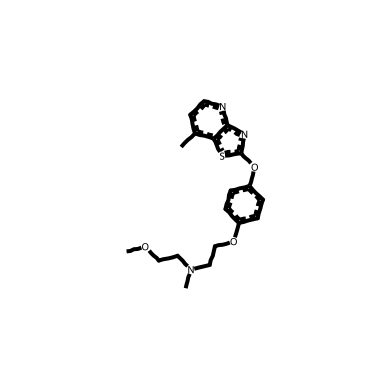 COCCN(C)CCOc1ccc(Oc2nc3nccc(C)c3s2)cc1